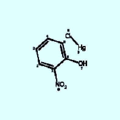 O=[N+]([O-])c1ccccc1O.[Cl][Hg]